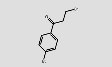 CCc1ccc(C(=O)CCBr)cc1